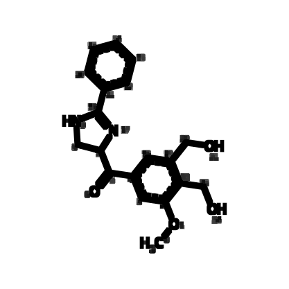 COc1cc(C(=O)C2CNC(c3ccccc3)=N2)cc(CO)c1CO